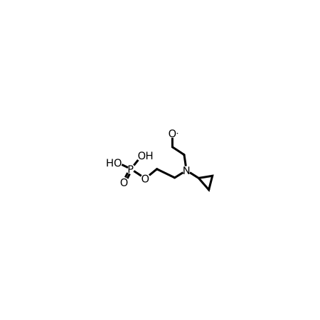 [O]CCN(CCOP(=O)(O)O)C1CC1